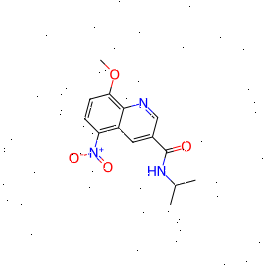 COc1ccc([N+](=O)[O-])c2cc(C(=O)NC(C)C)cnc12